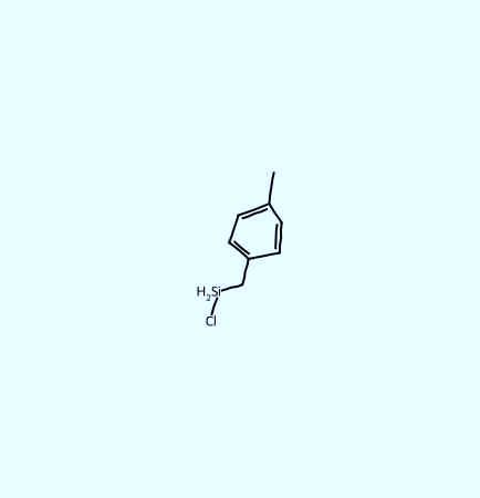 Cc1ccc(C[SiH2]Cl)cc1